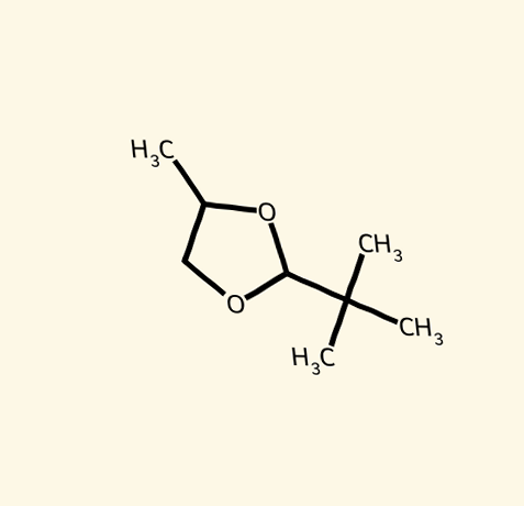 CC1COC(C(C)(C)C)O1